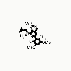 COc1cc(OC)c(Cl)c(-c2cc3cnc(SC)nc3c(N(C)CC3CC3)n2)c1C